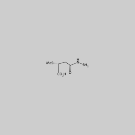 BNC(=O)C[C@@H](SC)C(=O)O